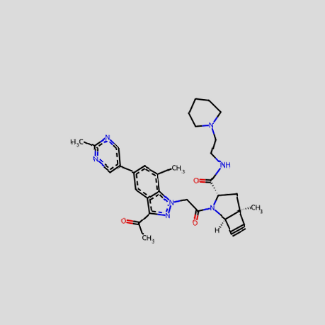 CC(=O)c1nn(CC(=O)N2[C@H](C(=O)NCCN3CCCCC3)C[C@@]3(C)C#C[C@@H]23)c2c(C)cc(-c3cnc(C)nc3)cc12